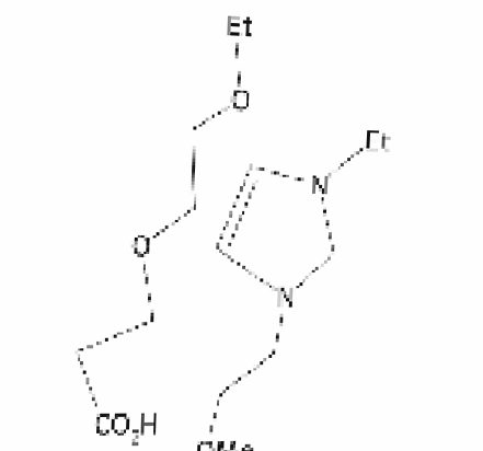 CCN1C=CN(CCOC)C1.CCOCCOCCC(=O)O